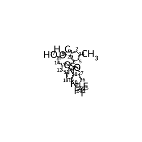 Cc1cc(C)cc(S(=O)(=O)n2c(CCCC(=O)O)cc3nc(C(F)(F)F)ccc32)c1